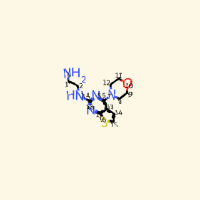 NCCNc1nc(N2CCOCC2)c2ccsc2n1